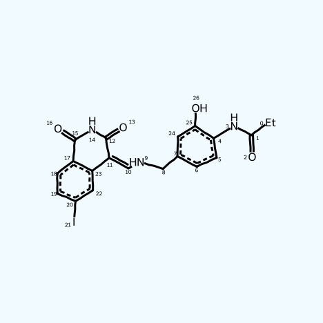 CCC(=O)Nc1ccc(CNC=C2C(=O)NC(=O)c3ccc(I)cc32)cc1O